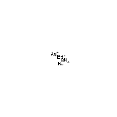 [Ag+].[BH4-].[BH4-].[Na+]